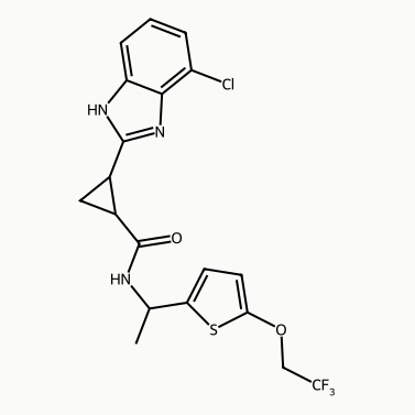 CC(NC(=O)C1CC1c1nc2c(Cl)cccc2[nH]1)c1ccc(OCC(F)(F)F)s1